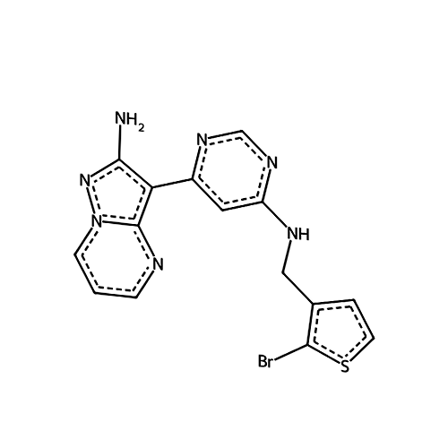 Nc1nn2cccnc2c1-c1cc(NCc2ccsc2Br)ncn1